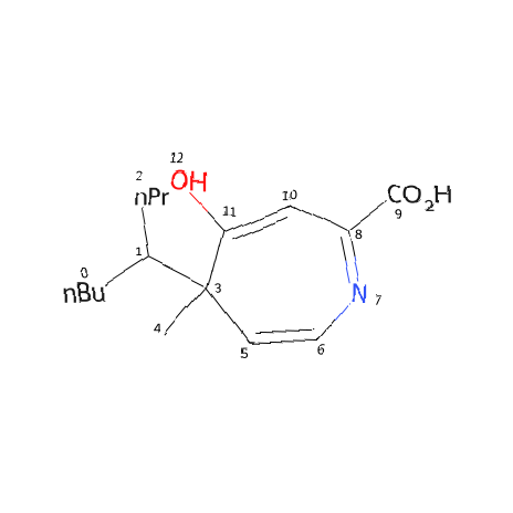 CCCCC(CCC)C1(C)C=CN=C(C(=O)O)C=C1O